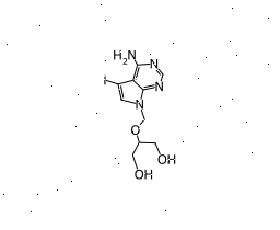 Nc1ncnc2c1c(I)cn2COC(CO)CO